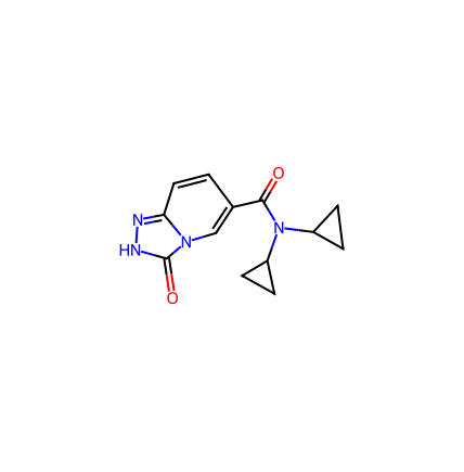 O=C(c1ccc2n[nH]c(=O)n2c1)N(C1CC1)C1CC1